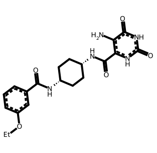 CCOc1cccc(C(=O)N[C@H]2CC[C@@H](NC(=O)c3[nH]c(=O)[nH]c(=O)c3N)CC2)c1